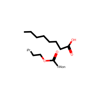 CCCCCCCC(=O)O.CCCCCCCCCC(=O)OCCC(C)C